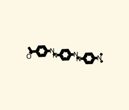 CC(=O)c1ccc(N=Nc2ccc(N=Nc3ccc(N(C)C)cc3)cc2)cc1